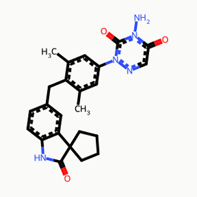 Cc1cc(-n2ncc(=O)n(N)c2=O)cc(C)c1Cc1ccc2c(c1)C1(CCCC1)C(=O)N2